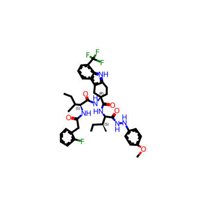 CCC(C)[C@H](NC(=O)Cc1ccccc1F)C(=O)N[C@]1(C(=O)NC(C(=O)NNc2ccc(OC)cc2)[C@@H](C)CC)CCc2[nH]c3c(C(F)(F)F)cccc3c2C1